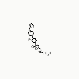 O=C(O)NCC1CN(c2ccc(C3CCN(Cc4ccco4)CC3)c(F)c2)C(=O)O1